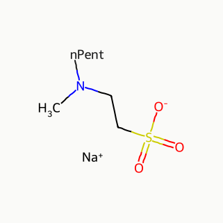 CCCCCN(C)CCS(=O)(=O)[O-].[Na+]